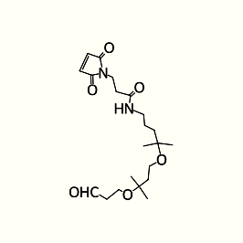 CC(C)(CCCNC(=O)CCN1C(=O)C=CC1=O)OCCC(C)(C)OCCC=O